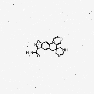 NC(=O)c1noc2cc3c(cc12)CC1(CN=CNC1)C1=COC=CN13